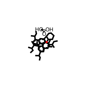 CCC(C)c1cc(C(C)CC)c2cc(C3CCCCC3(OP(O)O)c3cc4c(C(C)CC)cc(C(C)CC)cc4cc3C(C)CC)c(C(C)CC)cc2c1